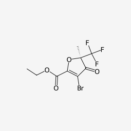 CCOC(=O)C1=C(Br)C(=O)[C@](C)(C(F)(F)F)O1